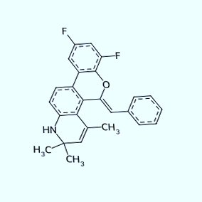 CC1=CC(C)(C)Nc2ccc3c(c21)/C(=C/c1ccccc1)Oc1c(F)cc(F)cc1-3